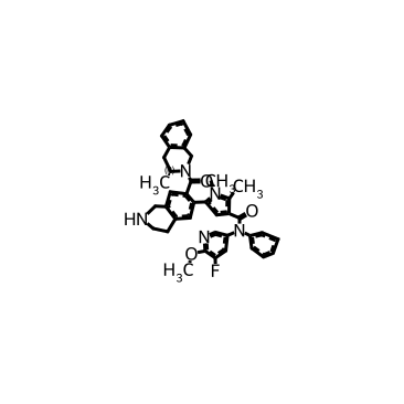 COc1ncc(N(C(=O)c2cc(-c3cc4c(cc3C(=O)N3Cc5ccccc5C[C@H]3C)CNCC4)n(C)c2C)c2ccccc2)cc1F